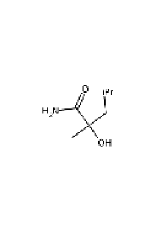 CC(C)CC(C)(O)C(N)=O